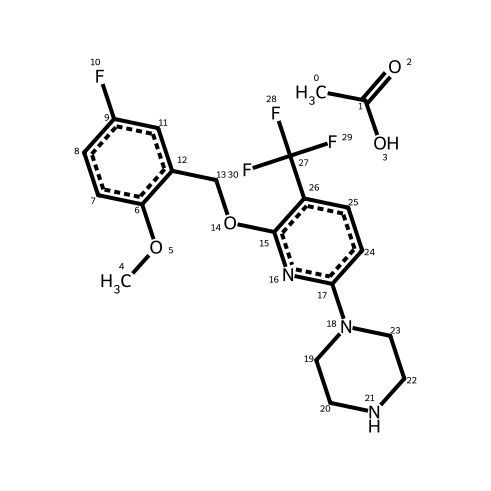 CC(=O)O.COc1ccc(F)cc1COc1nc(N2CCNCC2)ccc1C(F)(F)F